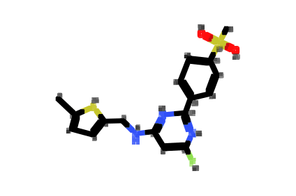 Cc1ccc(CNc2cc(F)nc(-c3ccc(S(C)(=O)=O)cc3)n2)s1